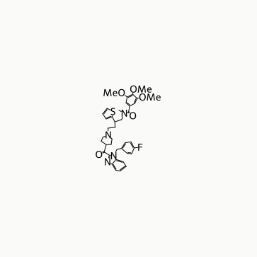 COc1cc(C(=O)N(C)CC(CCN2CCC(C(=O)c3nc4ccccc4n3Cc3ccc(F)cc3)CC2)c2cccs2)cc(OC)c1OC